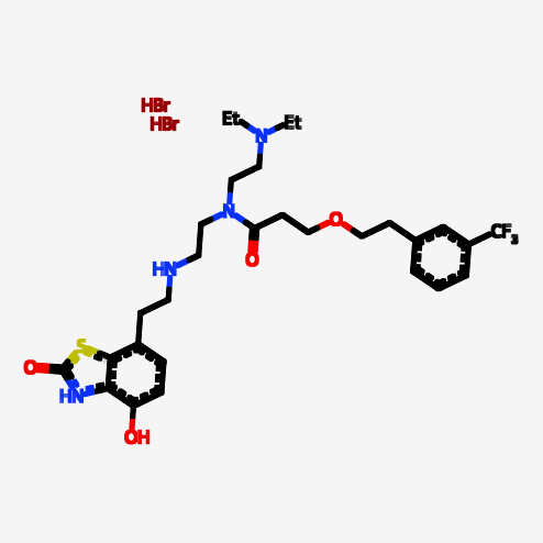 Br.Br.CCN(CC)CCN(CCNCCc1ccc(O)c2[nH]c(=O)sc12)C(=O)CCOCCc1cccc(C(F)(F)F)c1